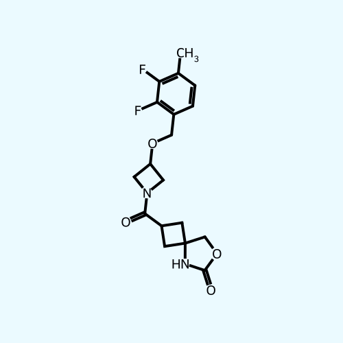 Cc1ccc(COC2CN(C(=O)C3CC4(COC(=O)N4)C3)C2)c(F)c1F